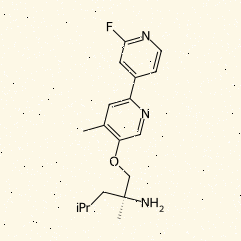 Cc1cc(-c2ccnc(F)c2)ncc1OC[C@@](C)(N)CC(C)C